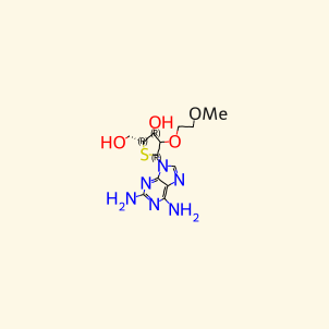 COCCOC1[C@@H](O)[C@@H](CO)S[C@H]1n1cnc2c(N)nc(N)nc21